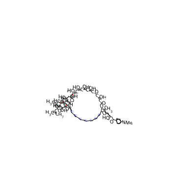 CNc1ccc(C(=O)CC(O)CC[C@H](C)C2OC(=O)C[C@H](O)CC(=O)C[C@H](O)C[C@H](O)C[C@H](O)C[C@H](O)C[C@]3(O)C[C@H](O)[C@@H](C(=O)NCCN(C)C)[C@H](C[C@@H](O[C@@H]4O[C@H](C)[C@@H](O)[C@H](NC(=O)CN(C)C)[C@@H]4O)/C=C/C=C/C=C/C=C/C=C/C=C/C=C/C2C)O3)cc1